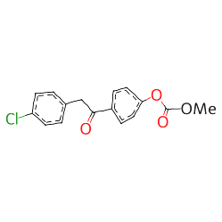 COC(=O)Oc1ccc(C(=O)Cc2ccc(Cl)cc2)cc1